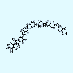 N#Cc1ccc(O[C@H]2CC[C@H](NC(=O)c3cnc(N4CCC(CN5CCC6(CC5)CN(c5cc7c(cc5F)C(=O)N(C5CCC(=O)NC5=O)C7=O)C6)CC4)nn3)CC2)cc1Cl